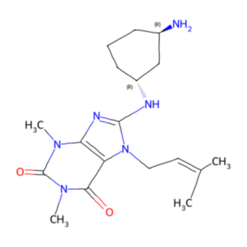 CC(C)=CCn1c(N[C@@H]2CCC[C@@H](N)C2)nc2c1c(=O)n(C)c(=O)n2C